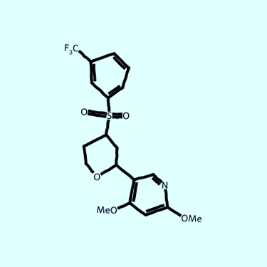 COc1cc(OC)c(C2CC(S(=O)(=O)c3cccc(C(F)(F)F)c3)CCO2)cn1